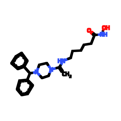 C=C(NCCCCCC(=O)NO)N1CCN(C(c2ccccc2)c2ccccc2)CC1